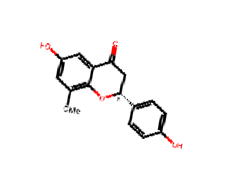 COc1cc(O)cc2c1O[C@@H](c1ccc(O)cc1)CC2=O